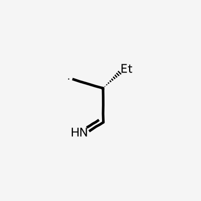 [CH2][C@@H](C=N)CC